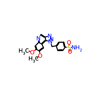 COc1cc2ncc3nnn(Cc4ccc(S(N)(=O)=O)cc4)c3c2cc1OC